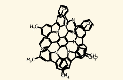 Cc1ccc2c(c1)c1cc(C)ccc1n2-c1c(-c2cccnc2)c(-n2c3ccc(C)cc3c3cc(C)ccc32)c(-n2c3ccc(C)cc3c3cc(C)ccc32)c(-n2c3ccc(C)cc3c3cc(C)ccc32)c1-c1nc(-c2ccccc2)nc(-c2ccccc2)n1